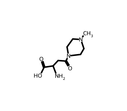 CN1CCN(C(=O)CC(N)C(=O)O)CC1